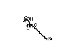 CCCC/C=C/CCCCCCCC(=O)NCC(O)COP(=O)(O)O